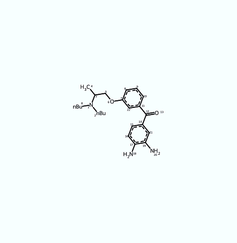 CCCCN(CCCC)C(C)COc1cccc(C(=O)c2ccc(N)c(N)c2)c1